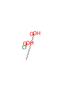 CCCCCCCCCCCCCCCCCC(=O)O.O=C(O)CCl